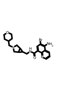 Nc1c(Br)cc(C(=O)NCC2C3CN(CC4CCOCC4)CC23)c2ncccc12